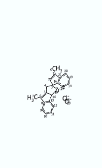 CC1=C[C]2(CC3=C(C)c4ccccc4[CH]3[Zr+2]2)c2ccccc21.[Cl-].[Cl-]